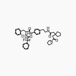 O=C(CC1(CC(=O)N2CCCC2)CCCC1)NCCc1ccc(NC(=O)C(Cc2ccccc2Cl)NC(=O)C(F)(F)c2ccccc2)cc1